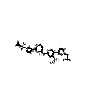 CCC(C)Nc1cc(Nc2ccnc(-c3cnn(S(=O)(=O)C4CC4)c3)n2)ncc1-c1ccn(CC(F)F)n1